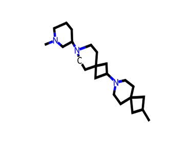 CC1CC2(CCN(C3CC4(CCN(C5CCCN(C)C5)CC4)C3)CC2)C1